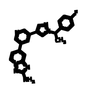 CC(c1ccc(F)cc1)n1cc(-c2cncc(-c3ccn4nc(N)nc4c3)c2)cn1